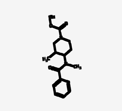 CC1CN(C(=O)OC(C)(C)C)CCC1N(C)C(=O)c1ccccc1